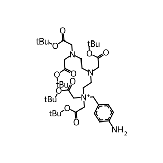 CC(C)(C)OC(=O)CN(CCN(CC(=O)OC(C)(C)C)CC(=O)OC(C)(C)C)CC[N+](CC(=O)OC(C)(C)C)(CC(=O)OC(C)(C)C)Cc1ccc(N)cc1